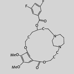 COc1cc2cc(c1OC)OCCCC(OC(=O)c1cc(F)cc(F)c1)CCN1CCCN(CCCOC2=O)CC1